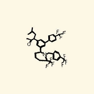 CC(=O)C(CC(C)C)c1cc(-c2ccc(C(F)(F)F)cc2)cc(C2CCCC(C(F)(F)F)N2Cc2ccc(C(F)(F)F)cc2)c1